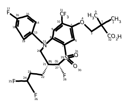 CC(C)(COc1cc2c(cc1C(F)(F)F)N(c1ccc(F)cc1)C[C@@H](CCC(F)F)[C@@H](F)S2(=O)=O)C(=O)O